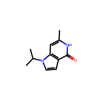 Cc1cc2c(ccn2C(C)C)c(=O)[nH]1